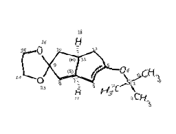 C[Si](C)(C)OC1=C[C@H]2CC3(C[C@H]2C1)OCCO3